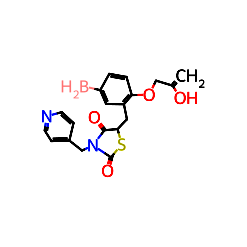 Bc1ccc(OCC(=C)O)c(CC2SC(=O)N(Cc3ccncc3)C2=O)c1